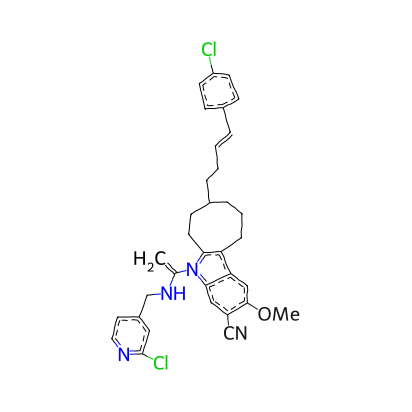 C=C(NCc1ccnc(Cl)c1)n1c2c(c3cc(OC)c(C#N)cc31)CCCC(CC/C=C/c1ccc(Cl)cc1)CC2